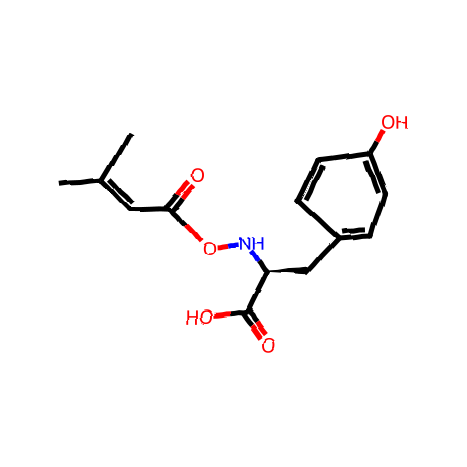 CC(C)=CC(=O)ON[C@@H](Cc1ccc(O)cc1)C(=O)O